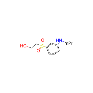 CCCNc1cccc(S(=O)(=O)CCO)c1